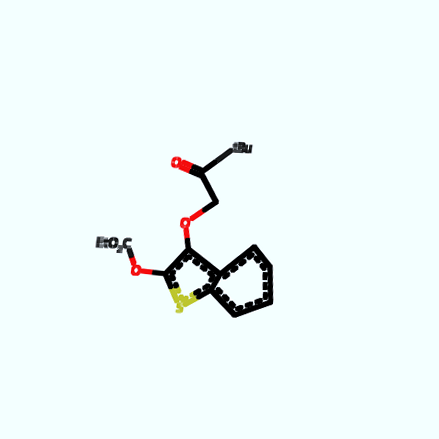 CCOC(=O)Oc1sc2ccccc2c1OCC(=O)C(C)(C)C